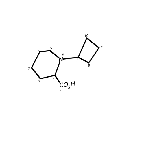 O=C(O)C1CCCCN1C1CCC1